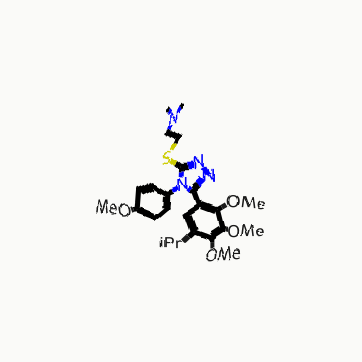 COc1ccc(-n2c(SCCN(C)C)nnc2-c2cc(C(C)C)c(OC)c(OC)c2OC)cc1